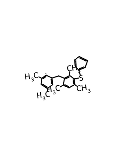 Cc1[c]c(Cc2c(C)cc(C)c(Sc3ccccc3)c2C)cc(C)c1